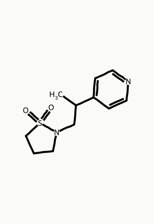 CC(CN1CCCS1(=O)=O)c1ccncc1